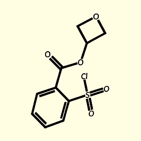 O=C(OC1COC1)c1ccccc1S(=O)(=O)Cl